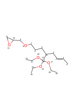 CC=CCC(CCCOCC1CO1)[Si](OCC)(OCC)OCC